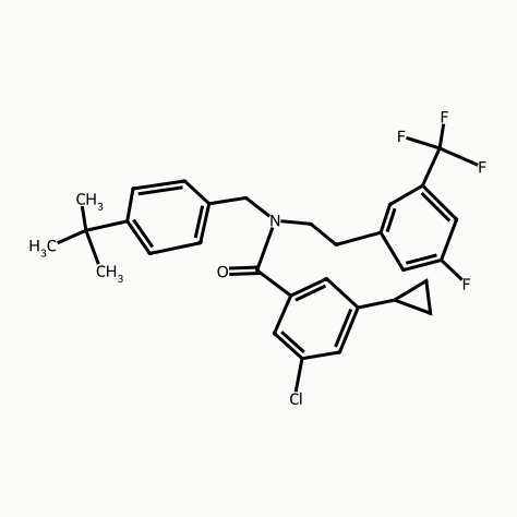 CC(C)(C)c1ccc(CN(CCc2cc(F)cc(C(F)(F)F)c2)C(=O)c2cc(Cl)cc(C3CC3)c2)cc1